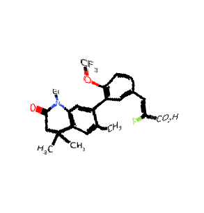 CCN1C(=O)CC(C)(C)c2cc(C)c(-c3cc(C=C(F)C(=O)O)ccc3OC(F)(F)F)cc21